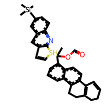 CC(OC=O)(c1cccc2c3c(ccc12)C1=C(CCC=C1)CC3)[SH]1C=Cc2cc3cc([Si](C)(C)C)ccc3nc21